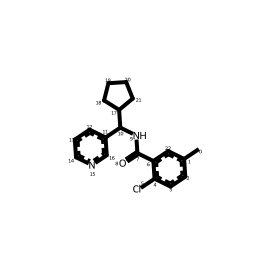 Cc1ccc(Cl)c(C(=O)NC(c2cccnc2)C2CCCC2)c1